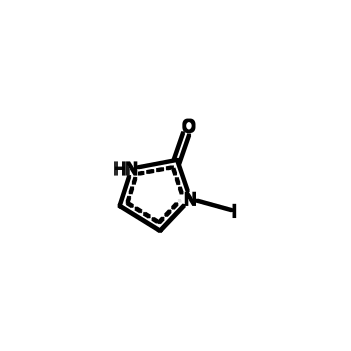 O=c1[nH]ccn1I